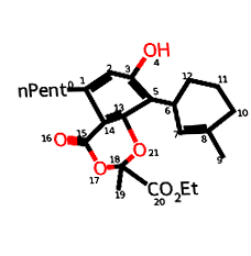 CCCCCc1cc(O)c(C2C=C(C)CCC2)c2c1C(=O)OC(C)(C(=O)OCC)O2